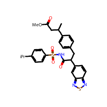 COC(=O)CC(C)c1ccc(CC(C(=O)NS(=O)(=O)c2ccc(C(C)C)cc2)c2ccc3nsnc3c2)cc1